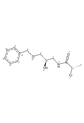 C[C@H](Cl)C(=O)NC[C@@H](O)COCc1ccccc1